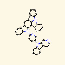 C1=CCC2C(=C1)n1c3ccccc3c3cc4c5ccccc5n(-c5ccc(-n6c7ccccc7c7ccncc76)cn5)c4c2c31